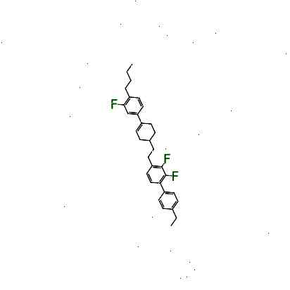 CCCCc1ccc(C2=CCC(CCc3ccc(-c4ccc(CC)cc4)c(F)c3F)CC2)cc1F